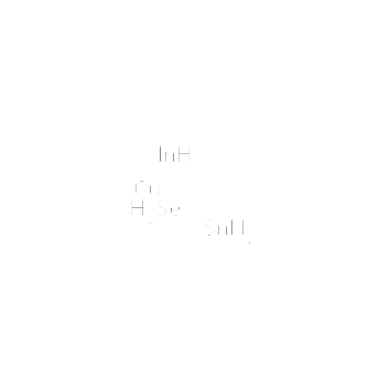 [Cu].[InH3].[SeH2].[SnH2]